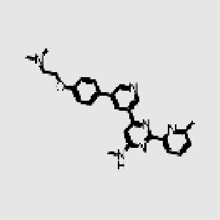 CNc1cc(-c2cncc(-c3ccc(OCCN(C)C)cc3)c2)nc(-c2cccc(C)n2)n1